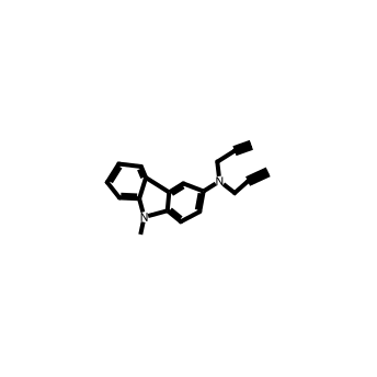 C#CCN(CC#C)c1ccc2c(c1)c1ccccc1n2C